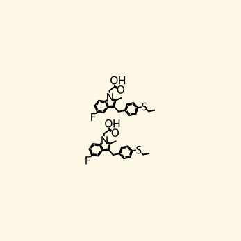 CCSc1ccc(Cc2c(C)n(CC(=O)O)c3ccc(F)cc23)cc1.CCSc1ccc(Cc2c(C)n(CC(=O)O)c3ccc(F)cc23)cc1